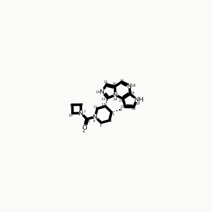 C[C@@H]1CCN(C(=O)N2CCC2)C[C@@H]1c1ncc2cnc3[nH]ccc3n12